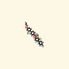 C=CCOc1ccc(-c2ccc(C(=O)Oc3ccc(-c4ccc(C)cc4)c(F)c3F)cc2)c(F)c1